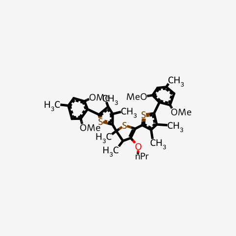 CCCOC1=C(c2sc(-c3c(OC)cc(C)cc3OC)c(C)c2C)SC(C)(c2sc(-c3c(OC)cc(C)cc3OC)c(C)c2C)C1C